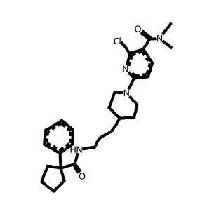 CN(C)C(=O)c1ccc(N2CCC(CCCNC(=O)C3(c4ccccc4)CCCC3)CC2)nc1Cl